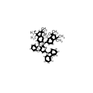 CC1(C)CC(C)(C)c2cc(N3c4cc5c(cc4B4c6ccccc6Oc6cc(-n7c8ccccc8c8ccccc87)nc3c64)C(C)(C)CC5(C)C)ccc21